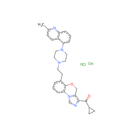 Cc1ccc2c(N3CCN(CCc4cccc5c4OCc4c(C(=O)C6CC6)ncn4-5)CC3)cccc2n1.Cl.Cl